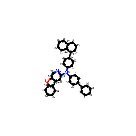 c1ccc(-c2ccc(N(c3ccc(-c4cccc5ccccc45)cc3)c3cc4c(cn3)oc3ccccc34)cc2)cc1